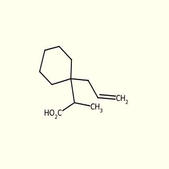 C=CCC1(C(C)C(=O)O)CCCCC1